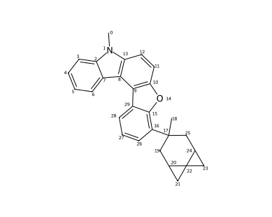 Cn1c2ccccc2c2c3c(ccc21)oc1c(C2(C)CC4CC45CC5C2)cccc13